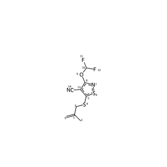 C=C(C)CSc1snc(OC(F)F)c1C#N